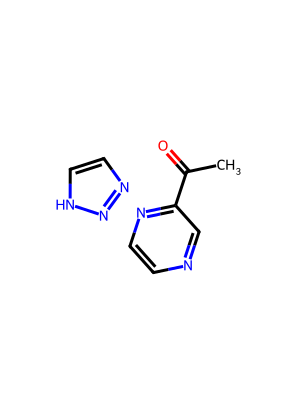 CC(=O)c1cnccn1.c1c[nH]nn1